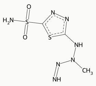 CN(N=N)Nc1nnc(S(N)(=O)=O)s1